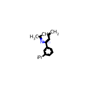 C=C/C=C(\N=C(C)C)c1cccc(C(C)C)c1